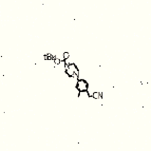 Cc1cc(N2CCN(C(=O)OC(C)(C)C)CC2)ccc1CC#N